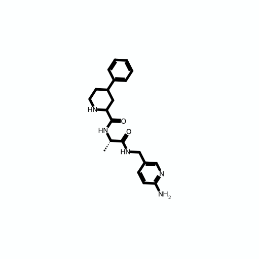 C[C@H](NC(=O)C1CC(c2ccccc2)CCN1)C(=O)NCc1ccc(N)nc1